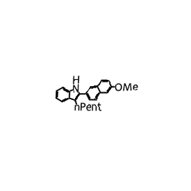 CCCCCc1c(-c2ccc3cc(OC)ccc3c2)[nH]c2ccccc12